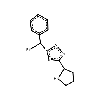 CCC(c1ccccc1)n1nnc(C2CCCN2)n1